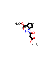 COC(=O)CC(=O)NC1CCCC1C(=O)OC